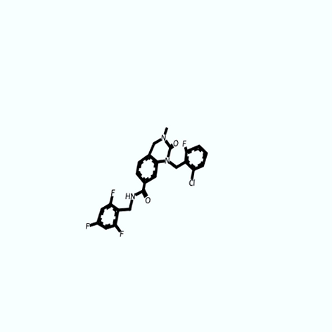 CN1Cc2ccc(C(=O)NCc3c(F)cc(F)cc3F)cc2N(Cc2c(F)cccc2Cl)C1=O